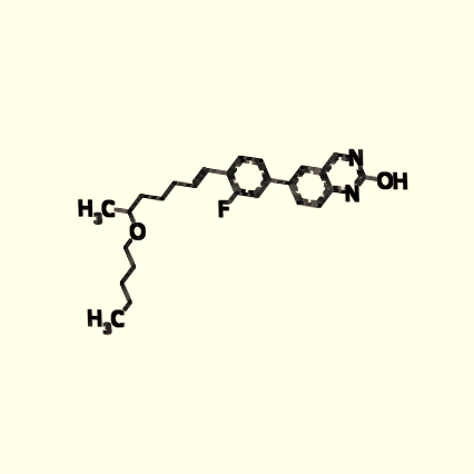 CCCCCOC(C)CCC/C=C/c1ccc(-c2ccc3nc(O)ncc3c2)cc1F